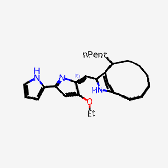 CCCCCC1CCCCCCC2=C=C1C(/C=C1/N=C(c3ccc[nH]3)C=C1OCC)N2